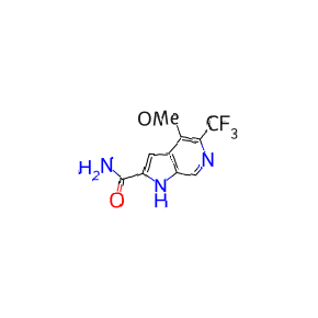 COc1c(C(F)(F)F)ncc2[nH]c(C(N)=O)cc12